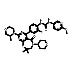 COc1ccc(NC(=O)Nc2ccc(-c3nc(N4CCOCC4C)nc4c3C(=O)N(C3CCOCC3)CC(C)(C)O4)cc2F)cn1